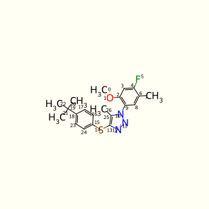 COc1cc(F)c(C)cc1-n1nnc(Sc2ccc(C(C)(C)C)cc2)c1C